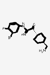 N=C(Nc1ccc(F)c(Br)c1)C(=O)[C@H]1CC[C@H](CN)CC1